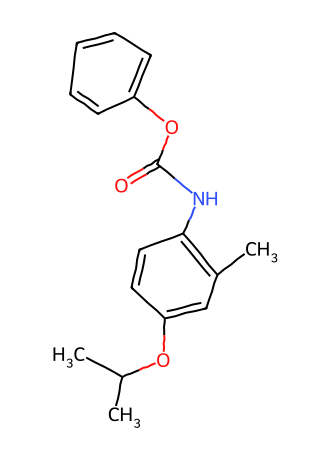 Cc1cc(OC(C)C)ccc1NC(=O)Oc1ccccc1